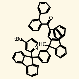 CC(C)(C)c1ccnc(C2(c3cccc(C(O)(c4cccc(C(=O)c5ccccc5-c5ccccc5)c4)c4ccccc4-c4ccccc4)c3)c3ccccc3-c3ccccc32)c1